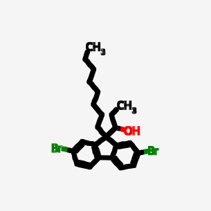 CCCCCCCCC1(C(O)CC)c2cc(Br)ccc2-c2ccc(Br)cc21